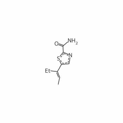 CC=C(CC)c1cnc(C(N)=O)s1